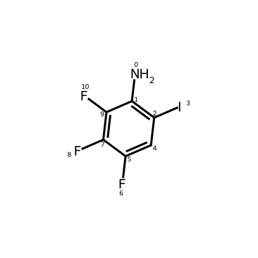 Nc1c(I)cc(F)c(F)c1F